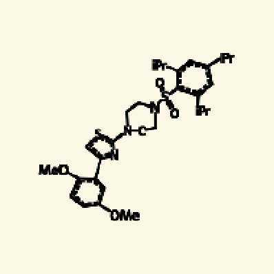 COc1ccc(OC)c(-c2csc(N3CCN(S(=O)(=O)c4c(C(C)C)cc(C(C)C)cc4C(C)C)CC3)n2)c1